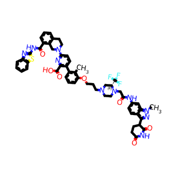 Cc1c(OCCCN2CCN(CC(=O)Nc3ccc4c(C5CCC(=O)NC5=O)nn(C)c4c3)[C@@H](C(F)(F)F)C2)cccc1-c1ccc(N2CCc3cccc(C(=O)Nc4nc5ccccc5s4)c3C2)nc1C(=O)O